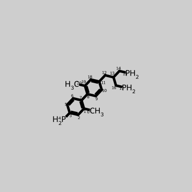 Cc1cc(P)ccc1-c1ccc(CC(CP)CP)cc1C